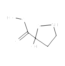 COC(=O)C1(C)CCNO1